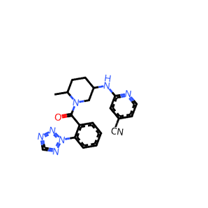 CC1CCC(Nc2cc(C#N)ccn2)CN1C(=O)c1ccccc1-n1ncnn1